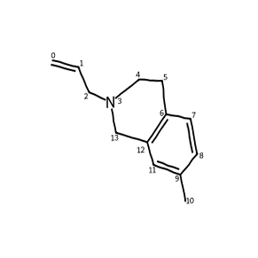 C=CCN1CCc2ccc(C)cc2C1